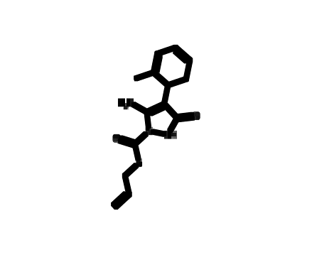 C=CCSC(=O)n1[nH]c(=O)c(C2CC=CC=C2C)c1N